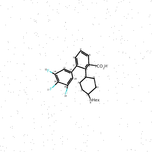 CCCCCCC1CCC(c2c(C(=O)O)cccc2-c2cc(F)c(F)c(F)c2)CC1